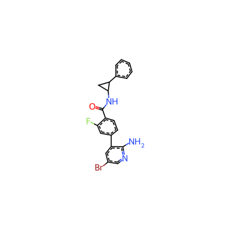 Nc1ncc(Br)cc1-c1ccc(C(=O)NC2CC2c2ccccc2)c(F)c1